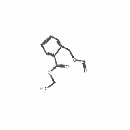 CCOC(=O)c1ccccc1CO[C]=O